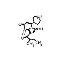 CCC(C)C(=O)c1cnn2c(C3CCNCC3)cc(=O)[nH]c12.Cl